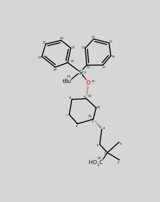 CC(C)(CC[C@@H]1CCC[C@H](O[Si](c2ccccc2)(c2ccccc2)C(C)(C)C)C1)C(=O)O